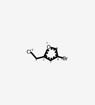 ClCc1cc(Br)co1